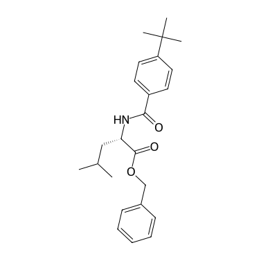 CC(C)C[C@H](NC(=O)c1ccc(C(C)(C)C)cc1)C(=O)OCc1ccccc1